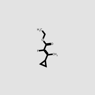 CCOC(=O)C(F)=C(C)C1CC1